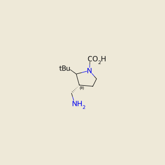 CC(C)(C)C1[C@@H](CN)CCN1C(=O)O